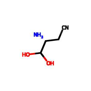 N.N#CCCC(O)O